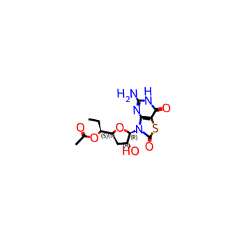 CC[C@H](OC(C)=O)[C@@H]1C[C@@H](O)[C@H](n2c(=O)sc3c(=O)[nH]c(N)nc32)O1